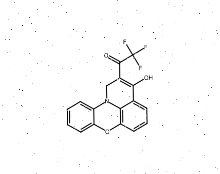 O=C(C1=C(O)c2cccc3c2N(C1)c1ccccc1O3)C(F)(F)F